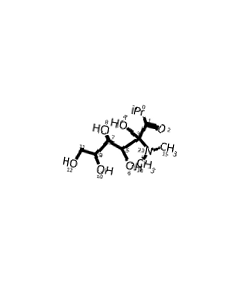 CC(C)C(=O)C(O)(C(O)C(O)C(O)CO)N(C)C